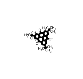 CC(C)(C)c1cc2c3c(c1)c(=O)c1cc(C(C)(C)C)cc4c([O-])c5cc(C(C)(C)C)cc(c2=O)c5c-3c41.[K+]